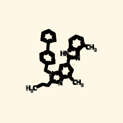 CCCc1nc2c(C)cc(-c3nc4c(C)cccc4[nH]3)cc2n1Cc1ccc(-c2ccccc2)cc1